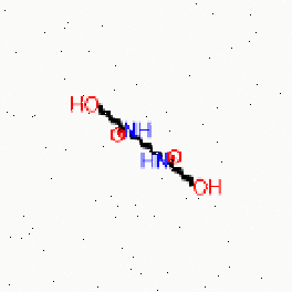 O=C(CCCCCO)NCCCCCCNC(=O)CCCCCO